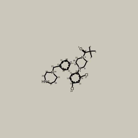 CC(C)(C)C(=O)N1CCN(c2ccc(Cl)cc2Cl)[C@H](c2ccc(CN3CCCNCC3)cc2)C1